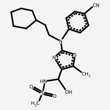 Cc1sc(N(CCC2CCCCC2)c2ccc(C#N)cc2)nc1C(O)NS(C)(=O)=O